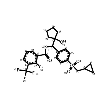 O=C(NC(c1ccc(S(=O)(=O)CC2CC2)cc1)C1(O)CCCC1)c1cccc(C(F)(F)F)c1Cl